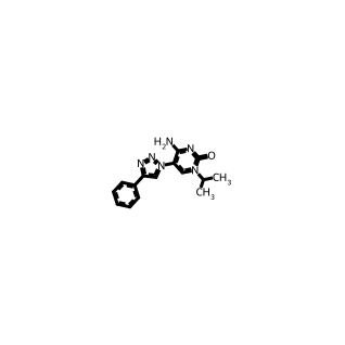 CC(C)n1cc(-n2cc(-c3ccccc3)nn2)c(N)nc1=O